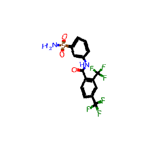 NS(=O)(=O)c1cccc(NC(=O)c2ccc(C(F)(F)F)cc2C(F)(F)F)c1